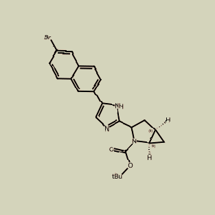 CC(C)(C)OC(=O)N1C(c2ncc(-c3ccc4cc(Br)ccc4c3)[nH]2)C[C@H]2C[C@H]21